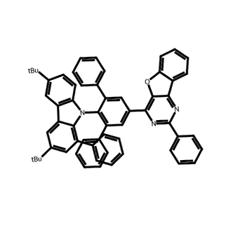 CC(C)(C)c1ccc2c(c1)c1cc(C(C)(C)C)cc(-c3ccccc3)c1n2-c1c(-c2ccccc2)cc(-c2nc(-c3ccccc3)nc3c2oc2ccccc23)cc1-c1ccccc1